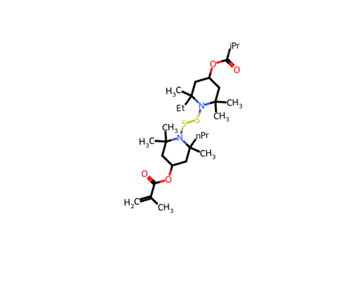 C=C(C)C(=O)OC1CC(C)(C)N(SSN2C(C)(C)CC(OC(=O)C(C)C)CC2(C)CC)C(C)(CCC)C1